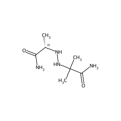 C[C@H](NNC(C)(C)C(N)=O)C(N)=O